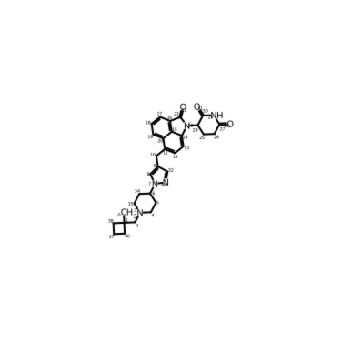 CC1(CN2CCC(n3cc(Cc4ccc5c6c(cccc46)C(=O)N5C4CCC(=O)NC4=O)cn3)CC2)CCC1